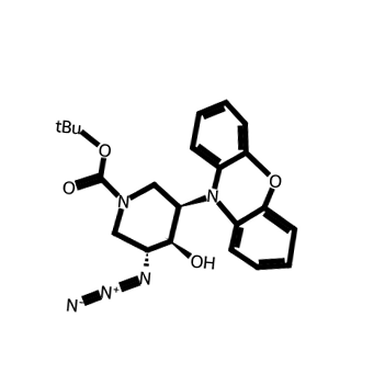 CC(C)(C)OC(=O)N1C[C@@H](N2c3ccccc3Oc3ccccc32)[C@@H](O)[C@H](N=[N+]=[N-])C1